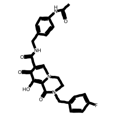 CC(=O)Nc1ccc(CNC(=O)c2cn3c(c(O)c2=O)C(=O)N(Cc2ccc(F)cc2)CC3)cc1